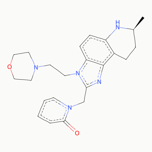 C[C@H]1CCc2c(ccc3c2nc(Cn2ccccc2=O)n3CCN2CCOCC2)N1